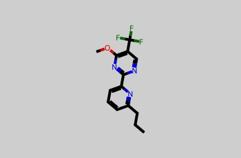 CCCc1cccc(-c2ncc(C(F)(F)F)c(OC)n2)n1